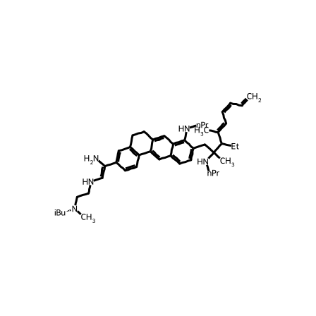 C=C/C=C\C=C(/C)C(CC)C(C)(Cc1ccc2cc3c(cc2c1NCCC)CCc1cc(/C(N)=C/NCCN(C)[C@@H](C)CC)ccc1-3)NCCC